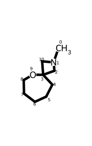 CN1CC2(CCCCCO2)C1